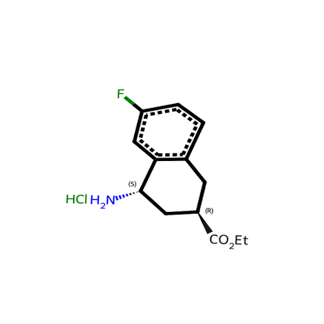 CCOC(=O)[C@@H]1Cc2ccc(F)cc2[C@@H](N)C1.Cl